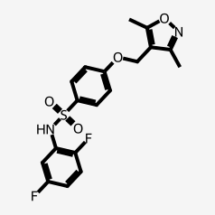 Cc1noc(C)c1COc1ccc(S(=O)(=O)Nc2cc(F)ccc2F)cc1